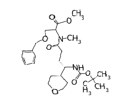 COC(=O)C(COCc1ccccc1)N(C)C(=O)CC[C@H](NC(=O)OC(C)(C)C)C1CCOCC1